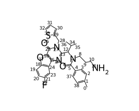 Cc1ccc(C(=O)N(CCCN)C(c2nc3c(oc4ccc(F)cc43)c(=O)n2Cc2cccs2)C(C)C)cc1